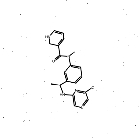 C[C@H](Nc1cncc(Cl)n1)c1cccc(N(C)C(=O)C2=CC=CNC2)c1